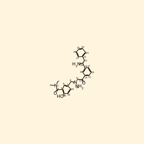 CN(C)C(=O)c1cc(CN(N)CC(=O)c2cccc([C](N)Cc3ccccc3)c2)ccc1O